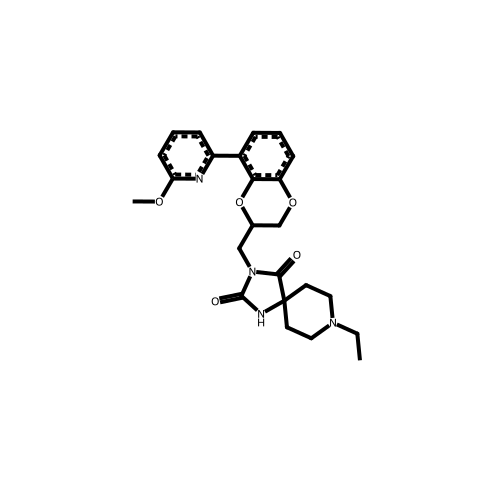 CCN1CCC2(CC1)NC(=O)N(CC1COc3cccc(-c4cccc(OC)n4)c3O1)C2=O